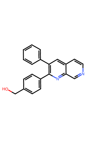 OCc1ccc(-c2nc3cnccc3cc2-c2ccccc2)cc1